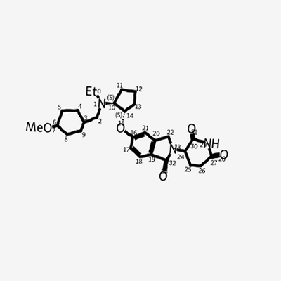 CCN(CC1CCC(OC)CC1)[C@H]1CCC[C@@H]1Oc1ccc2c(c1)CN(C1CCC(=O)NC1=O)C2=O